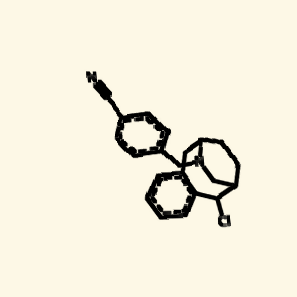 N#Cc1ccc(CN2CC3CCC2Cc2ccccc2C3Cl)cc1